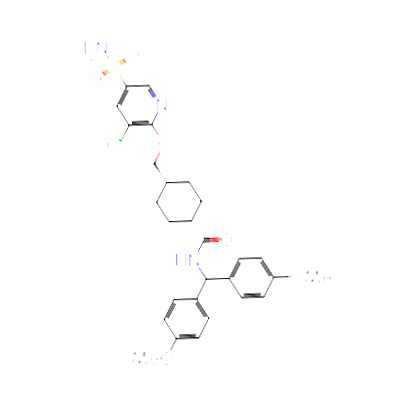 COc1ccc(C(NC(=O)[C@H]2CC[C@H](COc3ncc(S(N)(=O)=O)cc3Cl)CC2)c2ccc(OC)cc2)cc1